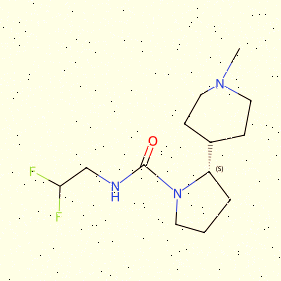 CN1CCC([C@@H]2CCCN2C(=O)NCC(F)F)CC1